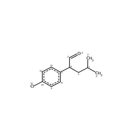 CC(C)CC([C]=O)c1ccc(Cl)cc1